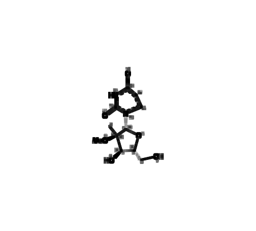 CO[C@]1(C)[C@H](O)[C@@H](CO)O[C@H]1n1ccc(=O)[nH]c1=O